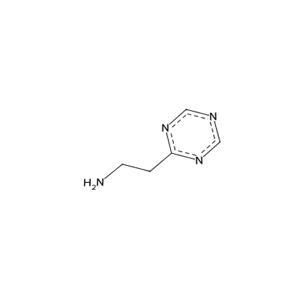 NCCc1ncncn1